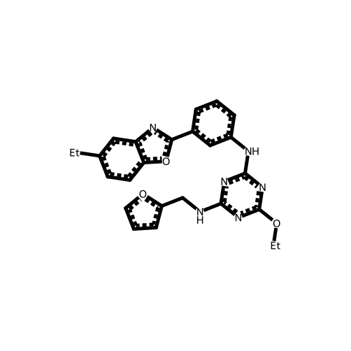 CCOc1nc(NCc2ccco2)nc(Nc2cccc(-c3nc4cc(CC)ccc4o3)c2)n1